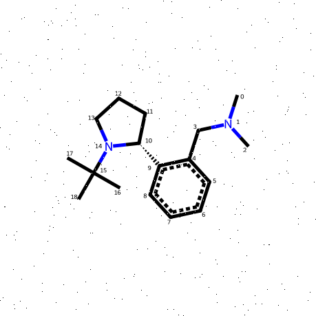 CN(C)Cc1ccccc1[C@H]1CCCN1C(C)(C)C